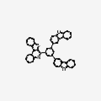 c1ccc2c(c1)nc(-c1cc(-c3ccc4oc5ccccc5c4c3)cc(-c3ccc4oc5ccccc5c4c3)c1)c1sc3ccccc3c12